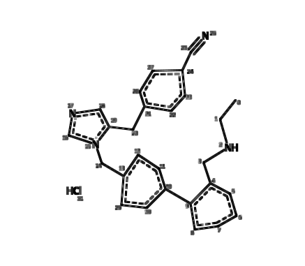 CCNCc1ccccc1-c1ccc(Cn2cncc2Cc2ccc(C#N)cc2)cc1.Cl